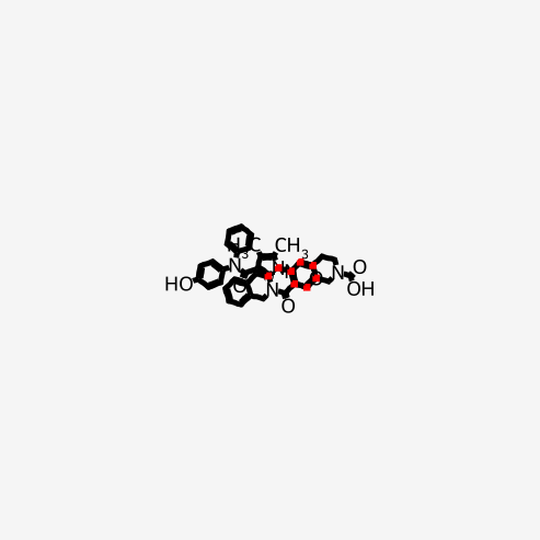 Cc1c(C(=O)N(c2ccccc2)c2ccc(O)cc2)cn(-c2cc3c(cc2C(=O)N2Cc4ccccc4C[C@H]2CN2CCOCC2)CN(C(=O)O)CC3)c1C